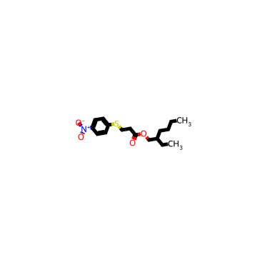 CCCCC(CC)COC(=O)CCSc1ccc([N+](=O)[O-])cc1